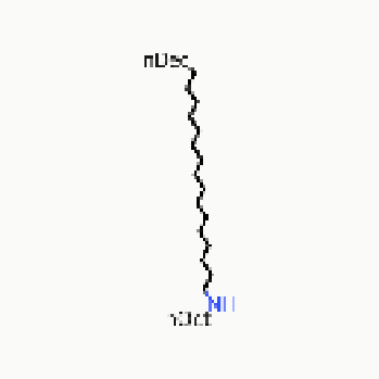 CCCCCCCCCCCCCCCCCCCCCCCCCCNCCCCCCCC